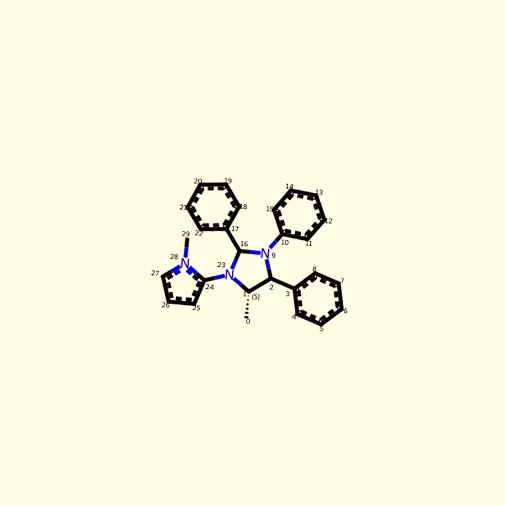 C[C@H]1C(c2ccccc2)N(c2ccccc2)C(c2ccccc2)N1c1cccn1C